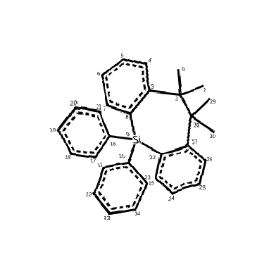 CC1(C)c2ccccc2[Si](c2ccccc2)(c2ccccc2)c2ccccc2C1(C)C